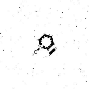 C=C.[O-][n+]1ccccc1